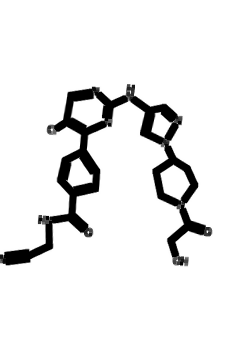 N#CCNC(=O)c1ccc(-c2nc(Nc3cnn(C4CCN(C(=O)CO)CC4)c3)ncc2Cl)cc1